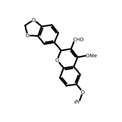 COC1=C(C=O)C(c2ccc3c(c2)OCO3)Oc2ccc(OC(C)C)cc21